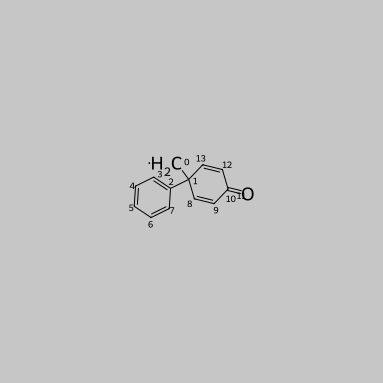 [CH2]C1(c2ccccc2)C=CC(=O)C=C1